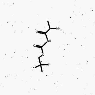 CC(N)C(=O)NC(=O)OCC(F)(F)F